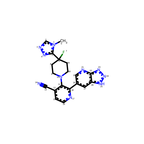 Cn1cnnc1C1(F)CCN(c2c(C#N)ccnc2-c2cnc3nn[nH]c3c2)CC1